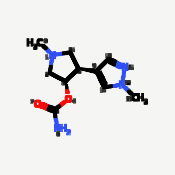 CN1C[C@@H](OC(N)=O)[C@H](c2cnn(C)c2)C1